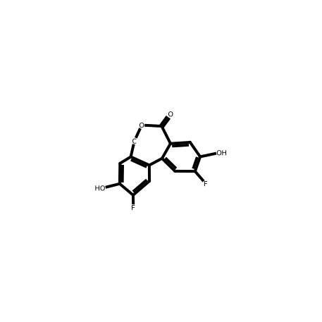 O=C1OCc2cc(O)c(F)cc2-c2cc(F)c(O)cc21